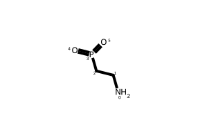 NCCP(=O)=O